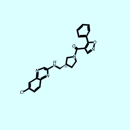 O=C(c1cnoc1-c1ccccc1)N1CC[C@@H](CNc2cnc3cc(Cl)ccc3n2)C1